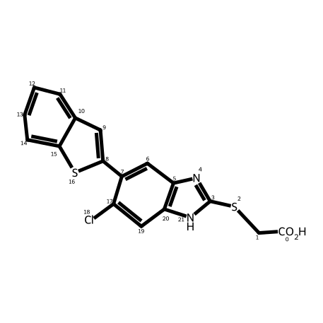 O=C(O)CSc1nc2cc(-c3cc4ccccc4s3)c(Cl)cc2[nH]1